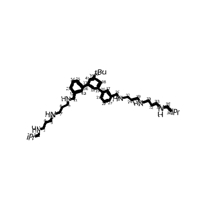 CC(C)CNCCCNCCCNCc1cccc(-c2cc(-c3cccc(CNCCCNCCCNCC(C)C)c3)cc(C(C)(C)C)c2)c1